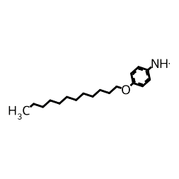 CCCCCCCCCCCCOc1ccc([NH])cc1